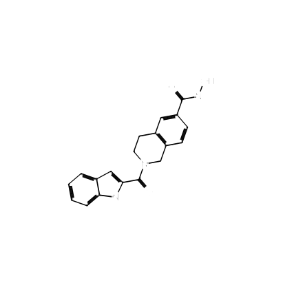 O=C(NO)c1ccc2c(c1)CCN(C(=O)c1cc3ccccc3[nH]1)C2